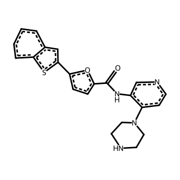 O=C(Nc1cnccc1N1CCNCC1)c1ccc(-c2cc3ccccc3s2)o1